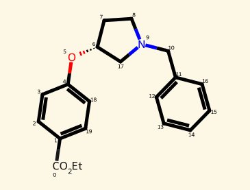 CCOC(=O)c1ccc(O[C@@H]2CCN(Cc3ccccc3)C2)cc1